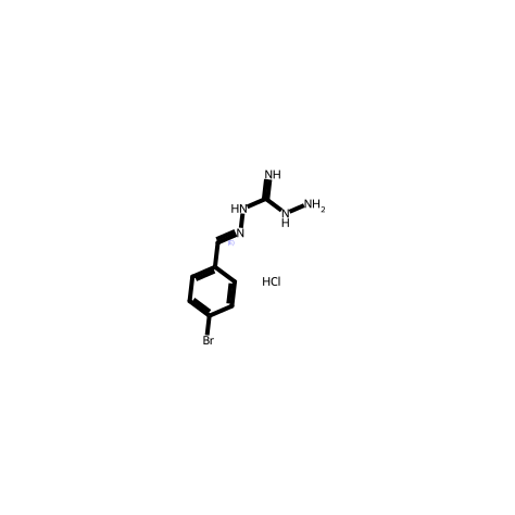 Cl.N=C(NN)N/N=C/c1ccc(Br)cc1